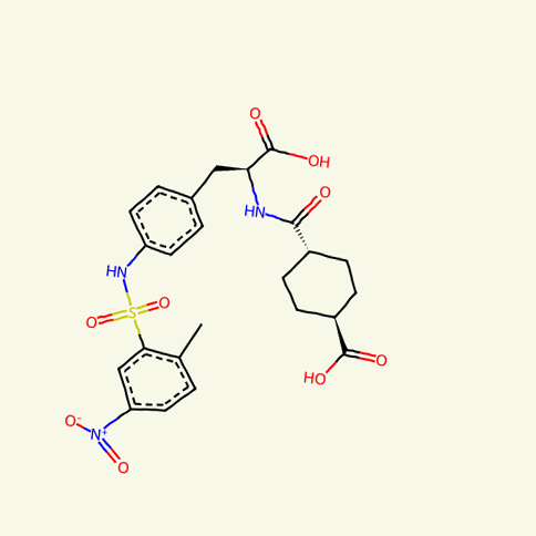 Cc1ccc([N+](=O)[O-])cc1S(=O)(=O)Nc1ccc(C[C@H](NC(=O)[C@H]2CC[C@H](C(=O)O)CC2)C(=O)O)cc1